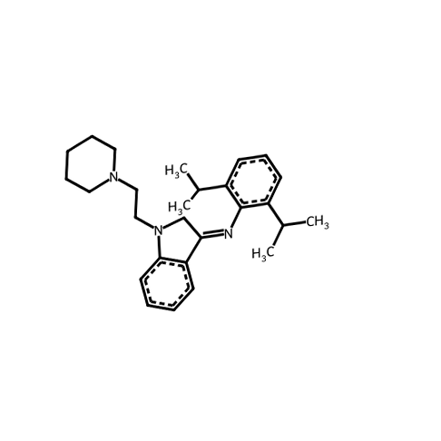 CC(C)c1cccc(C(C)C)c1N=C1CN(CCN2CCCCC2)c2ccccc21